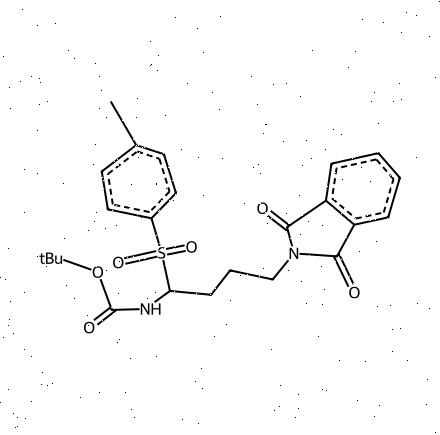 Cc1ccc(S(=O)(=O)C(CCCN2C(=O)c3ccccc3C2=O)NC(=O)OC(C)(C)C)cc1